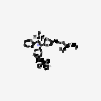 CN(C)CCOc1ccc(/C(=C(/c2ccccc2)C(F)(F)F)c2ccccc2)cc1.O=S(=O)(O)O